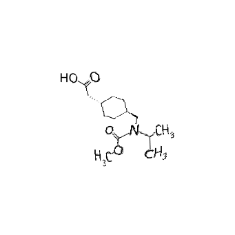 COC(=O)N(C[C@H]1CC[C@H](CC(=O)O)CC1)C(C)C